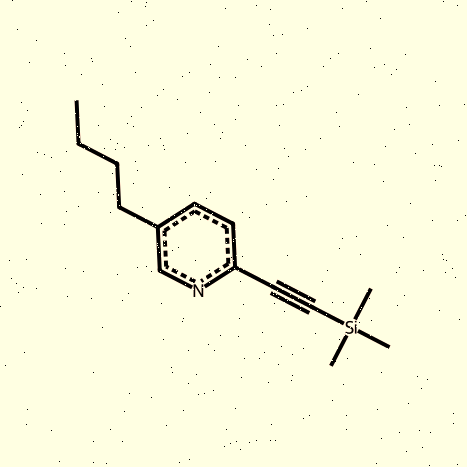 CCCCc1ccc(C#C[Si](C)(C)C)nc1